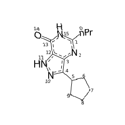 CCCc1nc2c(C3CCCC3)n[nH]c2c(=O)[nH]1